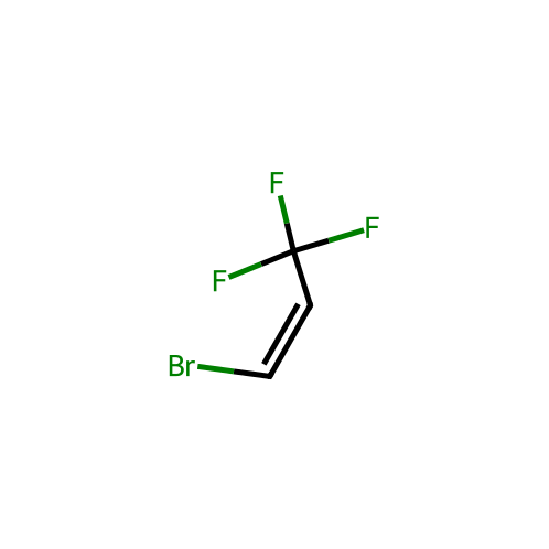 FC(F)(F)/C=C\Br